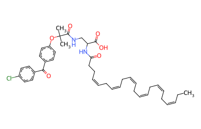 CC/C=C\C/C=C\C/C=C\C/C=C\C/C=C\C/C=C\CCC(=O)NC(CNC(=O)C(C)(C)Oc1ccc(C(=O)c2ccc(Cl)cc2)cc1)C(=O)O